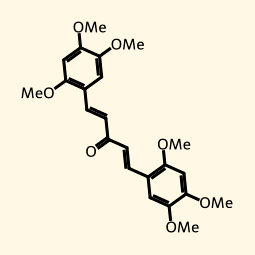 COc1cc(OC)c(OC)cc1/C=C/C(=O)/C=C/c1cc(OC)c(OC)cc1OC